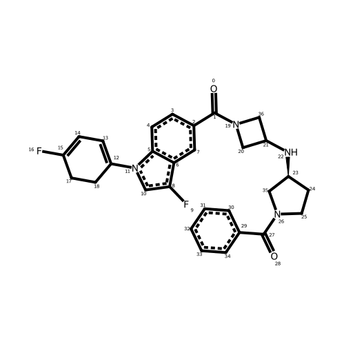 O=C(c1ccc2c(c1)c(F)cn2C1=CC=C(F)CC1)N1CC(N[C@H]2CCN(C(=O)c3ccccc3)C2)C1